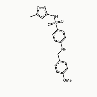 COc1ccc(CNc2ccc(S(=O)(=O)Nc3cc(C)on3)cc2)cc1